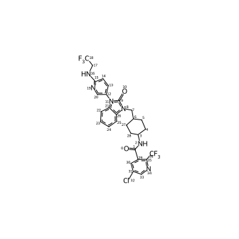 O=C(NC1CCC(Cn2c(=O)n(-c3ccc(NCC(F)(F)F)nc3)c3ccccc32)CC1)c1cc(Cl)cnc1C(F)(F)F